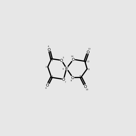 O=C1CC(=O)O[B-]2(O1)OC(=O)CC(=O)O2